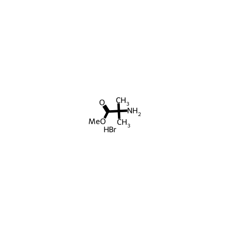 Br.COC(=O)C(C)(C)N